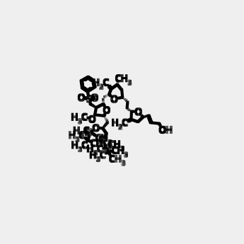 C=C1C[C@H](/C=C/CO)O[C@H]1CC[C@H]1C[C@@H](C)C(=C)[C@@H](C[C@@H]2O[C@H](C[C@@H](CO[Si](C)(C)C(C)(C)C)O[Si](C)(C)C(C)(C)C)[C@H](OC)[C@H]2CS(=O)(=O)c2ccccc2)O1